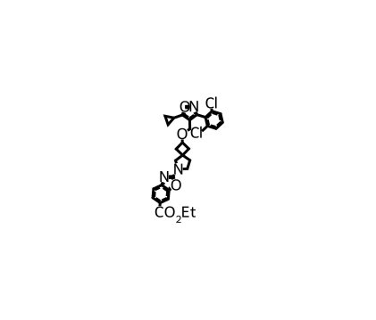 CCOC(=O)c1ccc2nc(N3CCC4(CC(OCc5c(-c6c(Cl)cccc6Cl)noc5C5CC5)C4)C3)oc2c1